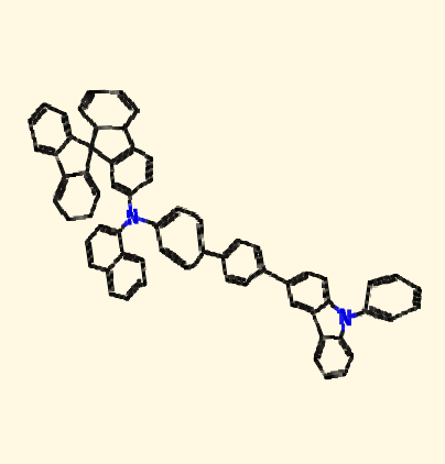 C1=CC2c3ccc(N(c4ccc(-c5ccc(-c6ccc7c(c6)c6ccccc6n7-c6ccccc6)cc5)cc4)c4cccc5ccccc45)cc3C3(C4=CCCC=C4c4ccccc43)C2C=C1